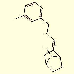 CN1C2CCC1/C(=C/NCc1cccc(Br)c1)C2